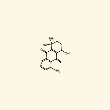 Nc1cccc2c1C(=O)C1=C(C2=O)C(N)(O)CC=C1O